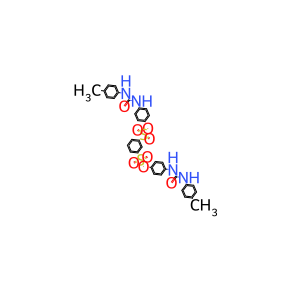 Cc1ccc(NC(=O)Nc2ccc(OS(=O)(=O)c3cccc(S(=O)(=O)Oc4ccc(NC(=O)Nc5ccc(C)cc5)cc4)c3)cc2)cc1